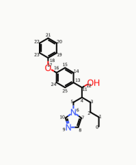 CCCCC(Cn1ccnc1)C(O)c1ccc(Oc2ccccc2)cc1